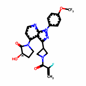 C=C(F)C(=O)N1CC(c2nn(-c3ccc(OC(F)(F)F)cc3)c3nccc(N4CC[C@@H](O)C4=O)c23)C1